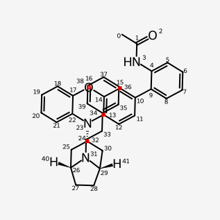 CC(=O)Nc1ccccc1-c1ccc2c(c1)Oc1ccccc1N2[C@H]1C[C@H]2CC[C@@H](C1)N2CCc1ccccc1